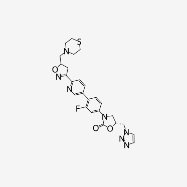 O=C1O[C@@H](Cn2ccnn2)CN1c1ccc(-c2ccc(C3=NOC(CN4CCSCC4)C3)nc2)c(F)c1